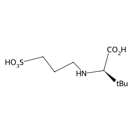 CC(C)(C)[C@@H](NCCCS(=O)(=O)O)C(=O)O